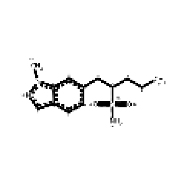 CCCC(Cc1ccc2cnn(C)c2c1)S(N)(=O)=O